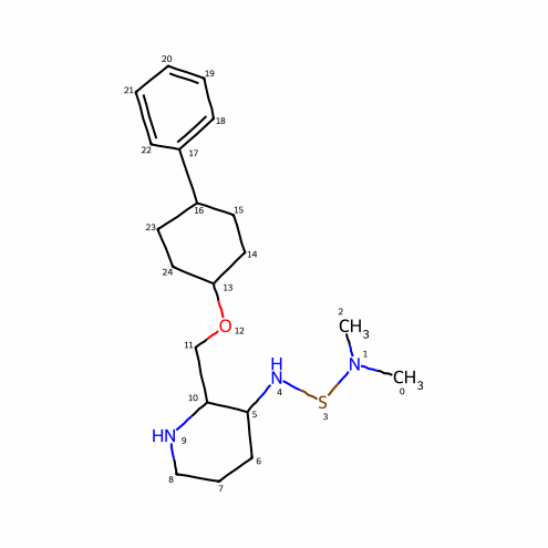 CN(C)SNC1CCCNC1COC1CCC(c2ccccc2)CC1